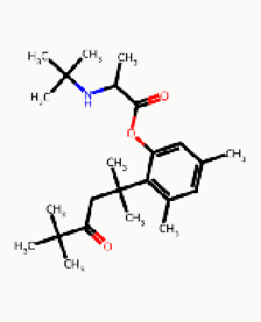 Cc1cc(C)c(C(C)(C)CC(=O)C(C)(C)C)c(OC(=O)C(C)NC(C)(C)C)c1